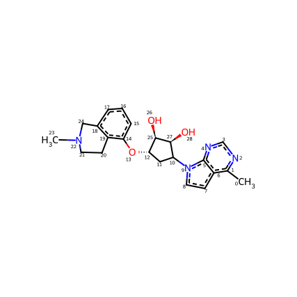 Cc1ncnc2c1ccn2C1C[C@H](Oc2cccc3c2CCN(C)C3)[C@@H](O)[C@H]1O